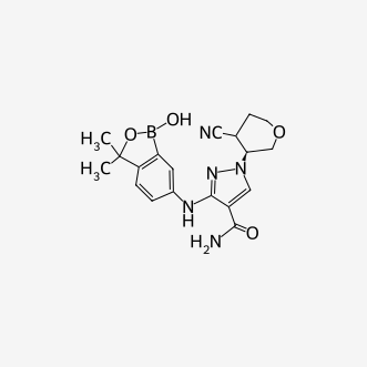 CC1(C)OB(O)c2cc(Nc3nn([C@@H]4COCCC4C#N)cc3C(N)=O)ccc21